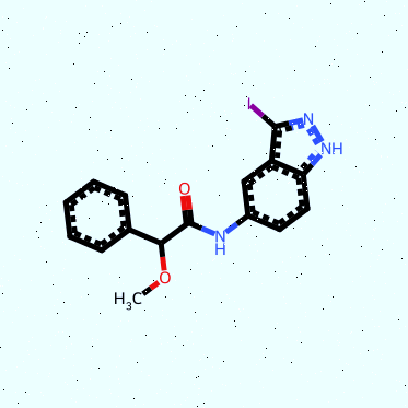 COC(C(=O)Nc1ccc2[nH]nc(I)c2c1)c1ccccc1